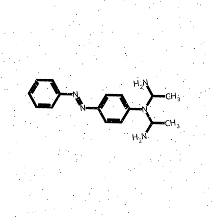 CC(N)N(c1ccc(N=Nc2ccccc2)cc1)C(C)N